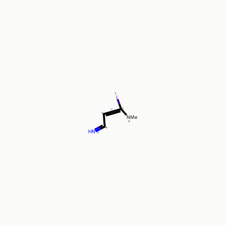 CN/C(I)=C\C=N